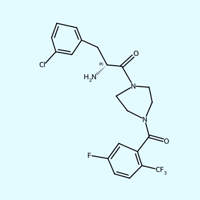 N[C@H](Cc1cccc(Cl)c1)C(=O)N1CCN(C(=O)c2cc(F)ccc2C(F)(F)F)CC1